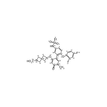 CCS(=O)(=O)Nc1ccc(Oc2ccc(F)cc2F)c(-c2cn(C)c(=O)cc2OC2CC3(C2)CN(C(=O)O)C3)c1